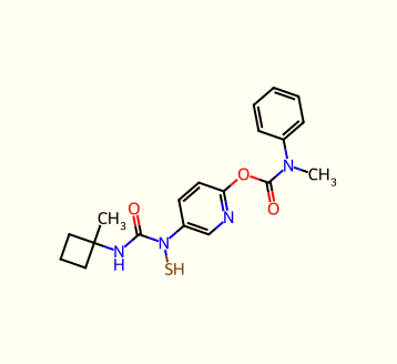 CN(C(=O)Oc1ccc(N(S)C(=O)NC2(C)CCC2)cn1)c1ccccc1